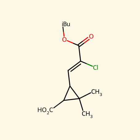 CCC(C)OC(=O)C(Cl)=CC1C(C(=O)O)C1(C)C